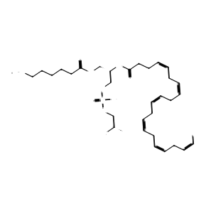 CC/C=C\C/C=C\C/C=C\C/C=C\C/C=C\C/C=C\CCC(=O)O[C@H](COC(=O)CCCCCCCCCCCCCCC)COP(=O)(O)OC[C@H](N)C(=O)O